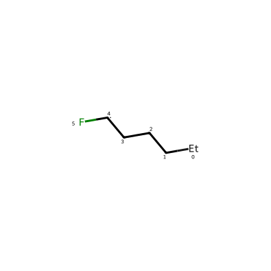 CCCCC[CH]F